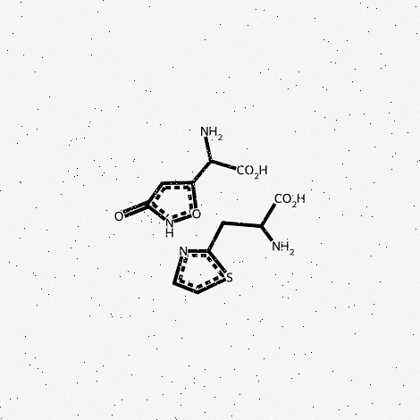 NC(C(=O)O)c1cc(=O)[nH]o1.NC(Cc1nccs1)C(=O)O